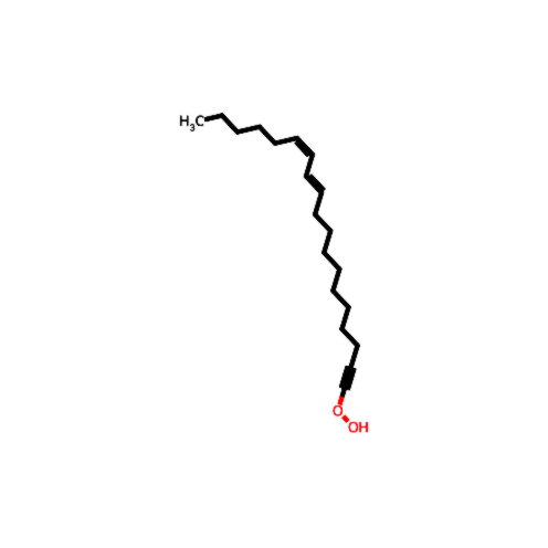 CCCCC/C=C\C=C\CCCCCCCCC#COO